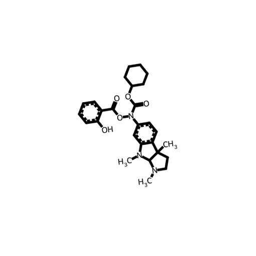 CN1CCC2(C)c3ccc(N(OC(=O)c4ccccc4O)C(=O)OC4CCCCC4)cc3N(C)C12